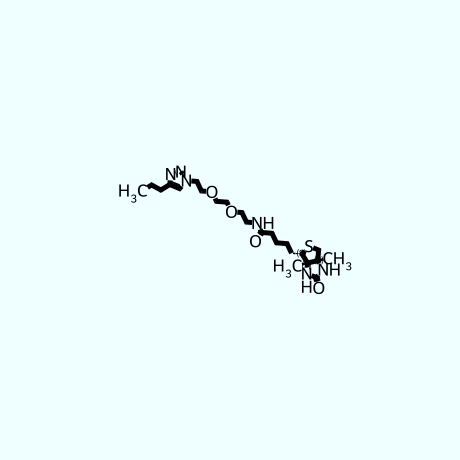 CCCc1cn(CCOCCOCCNC(=O)CCCC[C@@H]2SC[C@]3(C)NC(=O)N[C@]23C)nn1